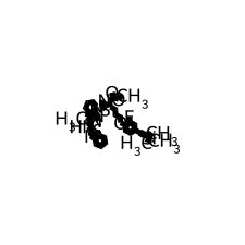 COC(=O)c1nc(N2CCCc3c2nnc(Nc2nc4ccccc4s2)c3C)sc1CCCOc1ccc(C#C[Si](C)(C)C)cc1F